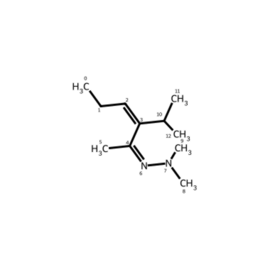 CC/C=C(\C(C)=N/N(C)C)C(C)C